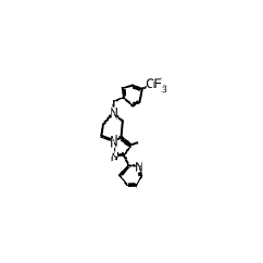 Cc1c(-c2ccccn2)nn2c1CN(Cc1ccc(C(F)(F)F)cc1)CC2